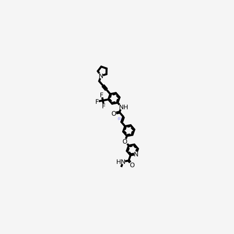 CNC(=O)c1cc(Oc2cccc(/C=C/C(=O)Nc3ccc(C#CCN4CCCC4)c(C(F)(F)F)c3)c2)ccn1